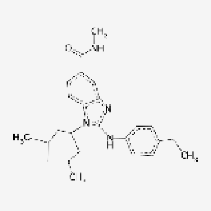 CCc1ccc(Nc2nc3cc(C(=O)NC)ccc3n2C2CC(C)CC(C)C2)cc1